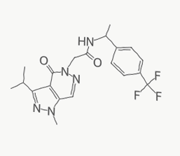 CC(C)c1nn(C)c2cnn(CC(=O)NC(C)c3ccc(C(F)(F)F)cc3)c(=O)c12